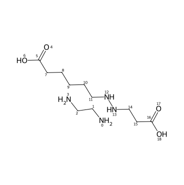 NCCN.O=C(O)CCCCCNNCCC(=O)O